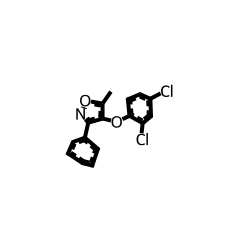 Cc1onc(-c2ccccc2)c1Oc1ccc(Cl)cc1Cl